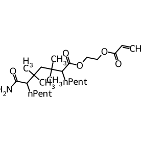 C=CC(=O)OCCOC(=O)C(CCCCC)C(C)(C)CC(C)(C)C(CCCCC)C(N)=O